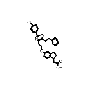 O=C(O)CC1CCc2cc(OCCc3nc(-c4ccc(Cl)cc4)oc3CCc3ccccc3)ccc21